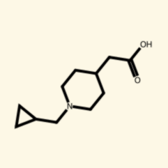 O=C(O)CC1CCN(CC2CC2)CC1